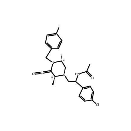 CC(=O)NC(CN1C[C@@H](C)N(Cc2ccc(F)cc2)C(=C=O)[C@@H]1C)c1ccc(Cl)cc1